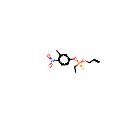 C=CCOP(=S)(CC)Oc1ccc([N+](=O)[O-])c(C)c1